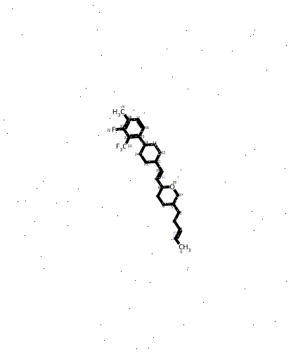 C/C=C/CCC1CCC(/C=C/C2CCC(c3ccc(C)c(F)c3C(F)(F)F)CC2)OC1